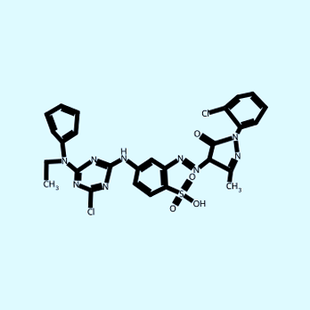 CCN(c1ccccc1)c1nc(Cl)nc(Nc2ccc(S(=O)(=O)O)c(/N=N/C3C(=O)N(c4ccccc4Cl)N=C3C)c2)n1